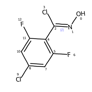 O/N=C(\Cl)c1c(F)cc(Cl)cc1F